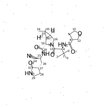 CC(C)(C)[C@H](NC(=O)C1CCOC1)C(=O)N1C[C@H]2[C@@H]([C@H]1C(=O)N[C@H](C#N)C[C@@H]1CCNC1=O)C2(C)C